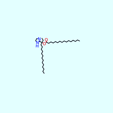 CCCCCCCCCCCCCCCC(=O)OC(CC)(CCCCCCCCCCCCCC)C1=NCCN1